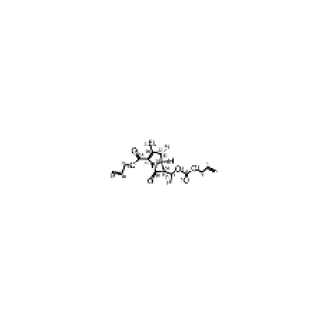 C=CCOC(=O)O[C@@H](C)[C@H]1C(=O)N2C(C(=O)OCC=C)=C(CC)[C@H](C)[C@H]12